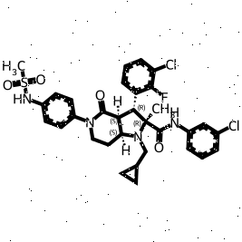 C[C@]1(C(=O)Nc2cccc(Cl)c2)[C@@H](c2cccc(Cl)c2F)[C@@H]2C(=O)N(c3ccc(NS(C)(=O)=O)cc3)CC[C@@H]2N1CC1CC1